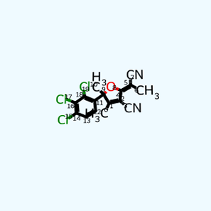 CC1=C(C#N)/C(=C(\C)C#N)OC1(C)c1ccc(Cl)c(Cl)c1Cl